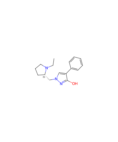 CCN1CCC[C@H]1Cn1cc(-c2ccccc2)c(O)n1